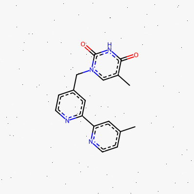 Cc1ccnc(-c2cc(Cn3cc(C)c(=O)[nH]c3=O)ccn2)c1